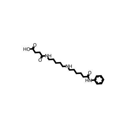 O=C(O)CCC(=O)NCCCCCNCCCCCC(=O)Nc1ccccc1